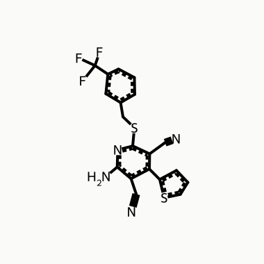 N#Cc1c(N)nc(SCc2cccc(C(F)(F)F)c2)c(C#N)c1-c1cccs1